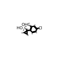 O=Cc1cc(Cl)ccc1C1(C(=O)O)CC1